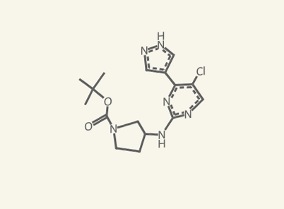 CC(C)(C)OC(=O)N1CCC(Nc2ncc(Cl)c(-c3cn[nH]c3)n2)C1